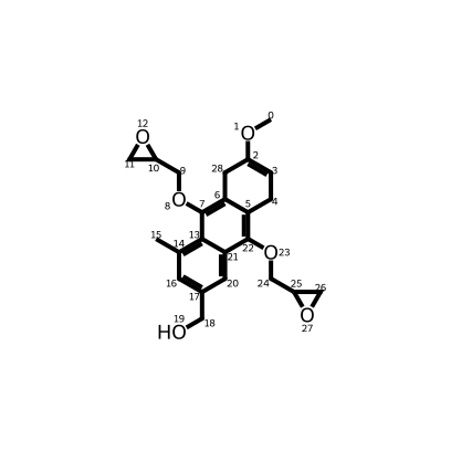 COC1=CCc2c(c(OCC3CO3)c3c(C)cc(CO)cc3c2OCC2CO2)C1